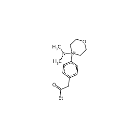 CCC(=O)Cc1ccc([N+]2(N(C)C)CCOCC2)cc1